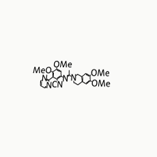 COc1cc2c(cc1OC)CN(C(C)=Nc1cc(OC)c(OC)c(-c3ncccn3)c1C#N)CC2